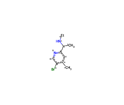 CCNC(C)c1cc(C)c(Br)cn1